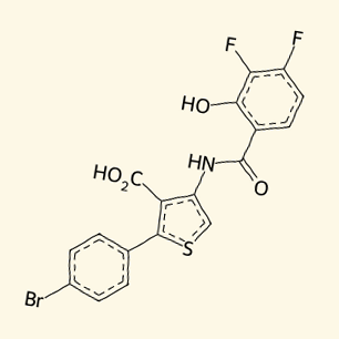 O=C(Nc1csc(-c2ccc(Br)cc2)c1C(=O)O)c1ccc(F)c(F)c1O